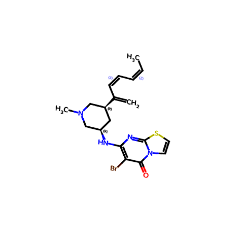 C=C(/C=C\C=C/C)[C@H]1C[C@@H](Nc2nc3sccn3c(=O)c2Br)CN(C)C1